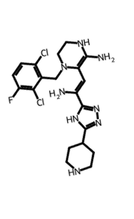 NC1=C(/C=C(\N)c2nnc(C3CCNCC3)[nH]2)N(Cc2c(Cl)ccc(F)c2Cl)CCN1